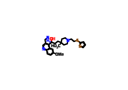 COc1ccc2ncc(CN)c(C(O)CCC3(C(=O)O)CCN(CCSc4cccs4)CC3)c2c1